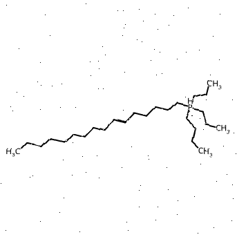 CCCCCCCCCCCCCCCC[PH](CCC)(CCC)CCCC